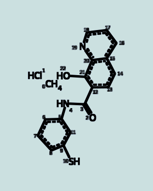 C.Cl.O=C(Nc1cccc(S)c1)c1ccc2cccnc2c1O